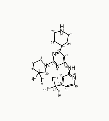 FC1(F)CCCN(c2nc(Nc3cc(C(F)(F)F)ccn3)cc(C3CCNCC3)n2)C1